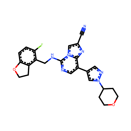 N#Cc1cn2c(NCc3c(F)ccc4c3CCO4)ncc(-c3cnn(C4CCOCC4)c3)c2n1